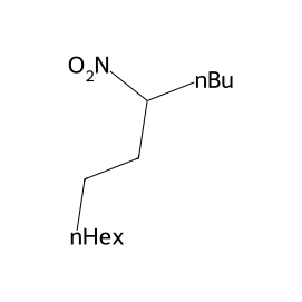 CCCCCCCCC(CCCC)[N+](=O)[O-]